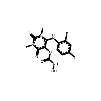 Cn1c(Nc2ccc(I)cc2F)c(OC(=O)NO)c(=O)n(C)c1=O